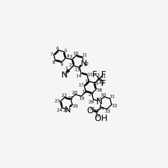 N#Cc1c(-c2ccccc2)ccnc1C=Cc1cc(CCc2cccnc2)c(CN2CCCCC2C(=O)O)cc1C(F)(F)F